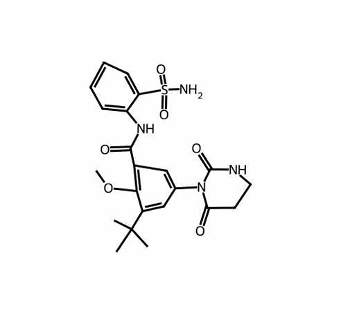 COc1c(C(=O)Nc2ccccc2S(N)(=O)=O)cc(N2C(=O)CCNC2=O)cc1C(C)(C)C